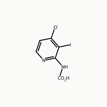 O=C(O)Nc1nccc(Cl)c1I